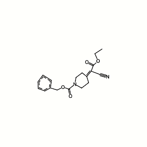 CCOC(=O)C(C#N)=C1CCN(C(=O)OCc2ccccc2)CC1